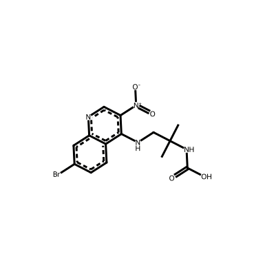 CC(C)(CNc1c([N+](=O)[O-])cnc2cc(Br)ccc12)NC(=O)O